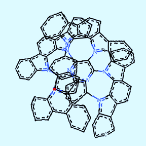 c1ccc(-n2c3ccccc3c3ccc4c5ccccc5n(-c5nc(-c6nc7ccccc7c7ccccc67)nc(-n6c7ccccc7c7ccc8c9ccccc9n(-c9ccccc9)c8c76)c5-n5c6ccccc6c6ccc7c8ccccc8n(-c8ccccc8)c7c65)c4c32)cc1